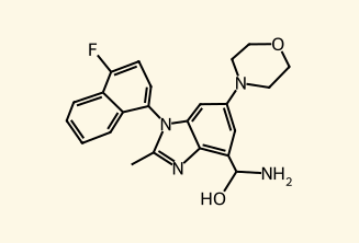 Cc1nc2c(C(N)O)cc(N3CCOCC3)cc2n1-c1ccc(F)c2ccccc12